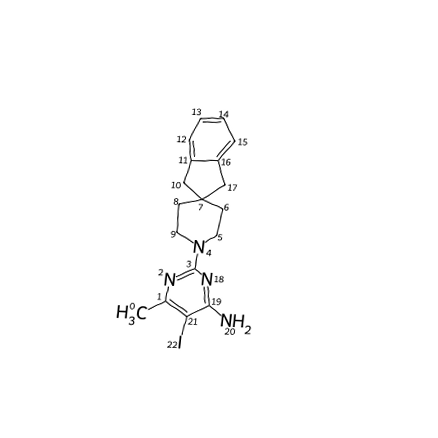 Cc1nc(N2CCC3(CC2)Cc2ccccc2C3)nc(N)c1I